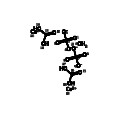 O.O=S(=O)([O-])[O-].O=S(=O)([O-])[O-].O=S(O)O.O=S(O)O.[Ca+2].[Ca+2]